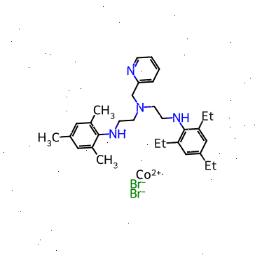 CCc1cc(CC)c(NCCN(CCNc2c(C)cc(C)cc2C)Cc2ccccn2)c(CC)c1.[Br-].[Br-].[Co+2]